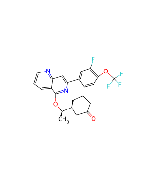 C[C@@H](Oc1nc(-c2ccc(OC(F)(F)F)c(F)c2)cc2ncccc12)[C@H]1CCCC(=O)C1